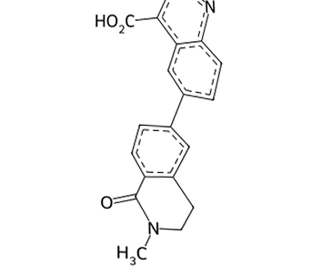 CN1CCc2cc(-c3ccc4nccc(C(=O)O)c4c3)ccc2C1=O